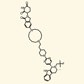 C[C@@H]1Cc2c([nH]c3ccccc23)[C@@H](c2cnc(N3CCC(CCN4CCCCCN(c5ccc6c(c5)CN(C5CCC(=O)NC5=O)C6=O)CCCCC4)CC3)nc2)N1CC(C)(C)F